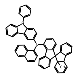 CC12C=CC=CC1c1ccccc1C21c2ccccc2-c2c(N(c3ccc4c(c3)c3ccccc3n4-c3ccccc3)c3cccc4ccccc34)cccc21